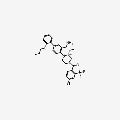 CCCOc1ccccc1-c1ccc(N2CCN(C(=O)c3ccc(Cl)cc3C(F)(F)F)C[C@H]2CC)c(CN)c1